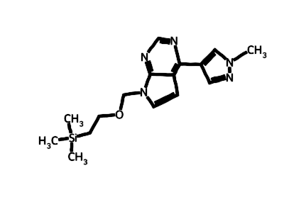 Cn1cc(-c2ncnc3c2ccn3COCC[Si](C)(C)C)cn1